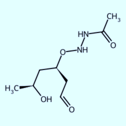 CC(=O)NNO[C@@H](CC=O)C[C@H](C)O